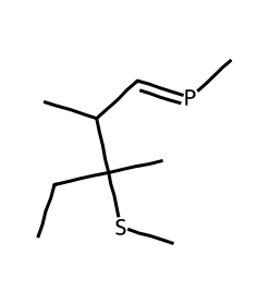 CCC(C)(SC)C(C)/C=P/C